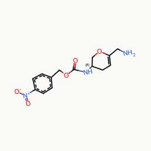 NCC1=CC[C@@H](NC(=O)OCc2ccc([N+](=O)[O-])cc2)CO1